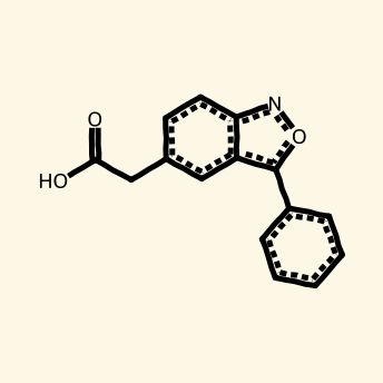 O=C(O)Cc1ccc2noc(-c3ccccc3)c2c1